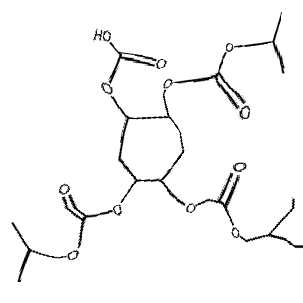 CC(C)OC(=O)OC1CC(OC(=O)OC(C)C)C(OC(=O)OC(C)C)CC1OC(=O)O